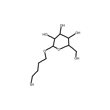 OCC1OC(OCCCCS)C(O)C(O)C1O